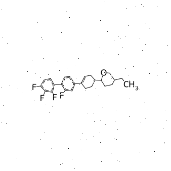 CCC1CCC(C2CC=C(c3ccc(-c4ccc(F)c(F)c4F)c(F)c3)CC2)OC1